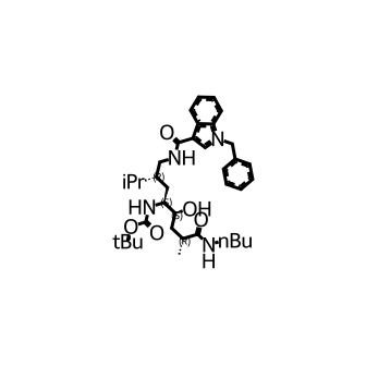 CCCCNC(=O)[C@H](C)C[C@H](O)[C@H](C[C@@H](CNC(=O)c1cn(Cc2ccccc2)c2ccccc12)C(C)C)NC(=O)OC(C)(C)C